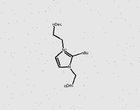 CCCCCCCCCCCC[n+]1ccn(CCCCCCCCCCC)c1CCCC